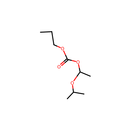 CCCOC(=O)OC(C)OC(C)C